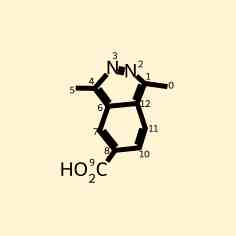 Cc1nnc(C)c2cc(C(=O)O)ccc12